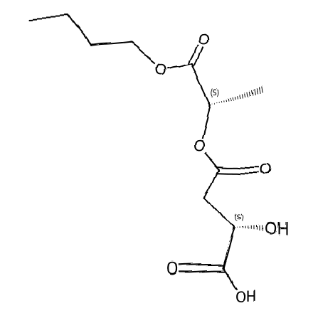 CCCCOC(=O)[C@H](C)OC(=O)C[C@H](O)C(=O)O